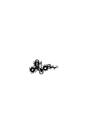 CCCCOc1ccc(C(=O)NCC(c2ccccc2)N2CCOCC2)cc1